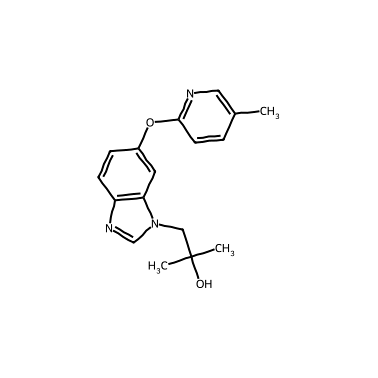 Cc1ccc(Oc2ccc3ncn(CC(C)(C)O)c3c2)nc1